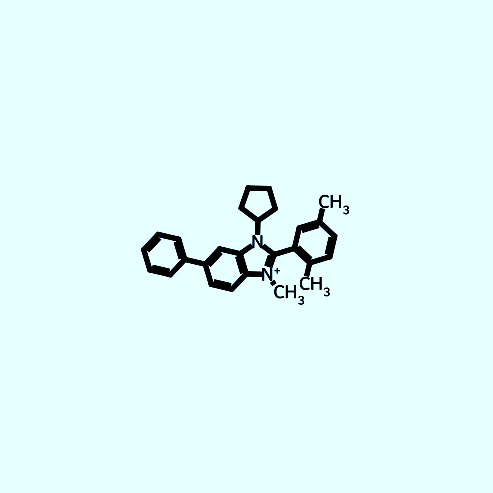 Cc1ccc(C)c(-c2n(C3CCCC3)c3cc(-c4ccccc4)ccc3[n+]2C)c1